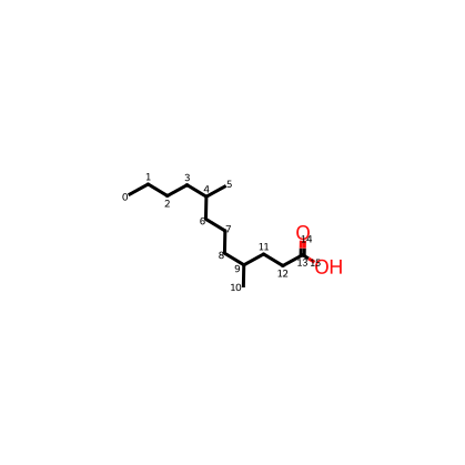 CCCCC(C)CCCC(C)CCC(=O)O